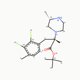 Cc1ccc(C[C@@](C)(C(=O)OC(C)(C)C)N2CCN[C@@H](C)C2)c(F)c1F